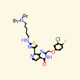 CC(C)N(CCCCCNc1nc(-c2nccc3c(=O)[nH]c(COc4ccc(F)c(Cl)c4)nc23)cs1)C(C)C